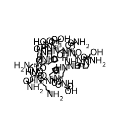 C[C@@H](O)[C@H](NC(=O)[C@H](CC(=O)O)NC(=O)CNC(=O)[C@H](CC(N)=O)NC(=O)CNC(=O)[C@@H]1CCCN1C(=O)[C@@H](N)CO)C(=O)N[C@@H](CO)C(=O)N[C@@H](Cc1ccccc1)C(=O)N[C@@H](CC(N)=O)C(=O)N[C@@H](CCC(N)=O)C(=O)N[C@@H](CCCCN)C(=O)N[C@@H](Cc1ccccc1)C(=O)N[C@@H](CCCNC(=N)N)C(=O)NCC(=O)O